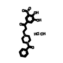 Cl.Cl.O=C(CCN1CCN(C(=O)c2ccccc2)CC1)c1cc(O)c(O)c([N+](=O)[O-])c1